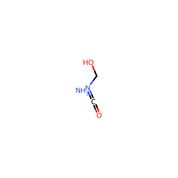 N.O=C=NCO